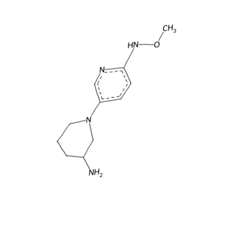 CONc1ccc(N2CCCC(N)C2)cn1